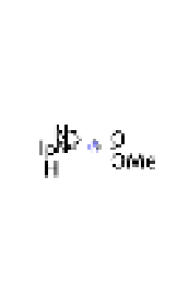 COC(=O)/C=C/c1cnn(PI)c1